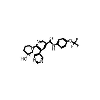 O=C(Nc1ccc(OC(F)(F)F)cc1)c1cnc(N2CCC[C@@H](O)C2)c(-c2cncnc2)c1